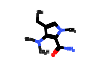 Cn1cc(CC(C)(C)C)c(N(C(=O)O)C(C)(C)C)c1C(N)=O